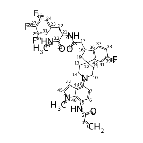 C=CC(=O)Nc1ccc(N2CCC3(CC2)CC(CC(=O)N[C@H](Cc2cc(F)c(F)c(F)c2)C(=O)NC)c2ccc(F)cc23)c2ccn(C)c12